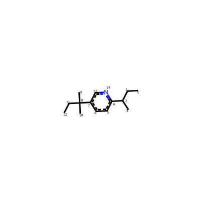 CCC(C)c1ccc(C(C)(C)CC)cn1